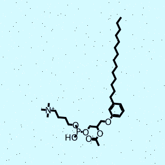 CCCCCCCCCCCCCCc1cccc(OCC(COP(O)OCCCC[N+](C)(C)C)OC(C)=O)c1